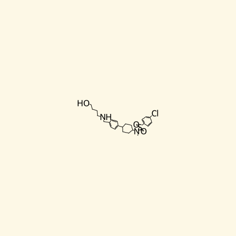 CN(C1CCC(c2ccc(CNCCCCO)cc2)CC1)S(=O)(=O)c1ccc(Cl)cc1